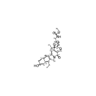 CCc1c2c(nc3ccc(O)cc13)-c1cc3c(c(=O)n1C2)COC(=O)[C@@]3(CC)OC(=O)CNC(=O)OC